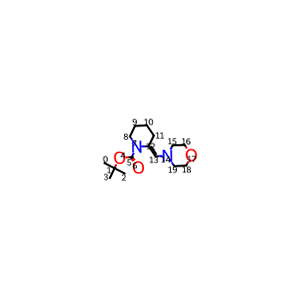 CC(C)(C)OC(=O)N1CCCCC1=CN1CCOCC1